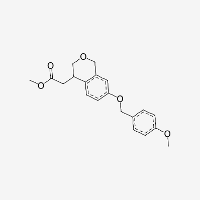 COC(=O)CC1COCc2cc(OCc3ccc(OC)cc3)ccc21